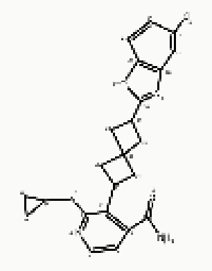 NC(=O)c1ccnc(SC2CC2)c1C1CC2(CC(c3nc4cc(Cl)ccc4o3)C2)C1